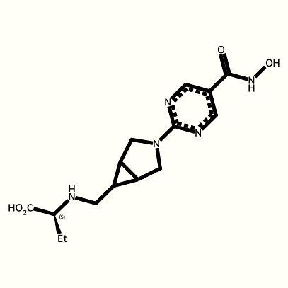 CC[C@H](NCC1C2CN(c3ncc(C(=O)NO)cn3)CC12)C(=O)O